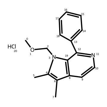 COCn1c(C)c(C)c2ccnc(-c3ccccc3)c21.Cl